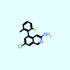 Cc1cccc(F)c1-c1cc(Cl)cc2cnc(N)cc12